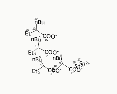 CCCCC(CC)C(=O)[O-].CCCCC(CC)C(=O)[O-].CCCCC(CC)C(=O)[O-].CCCCC(CC)C(=O)[O-].[Sn+2].[Sn+2]